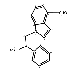 COC(Cn1ccc2c(C=O)cccc21)c1ccccc1